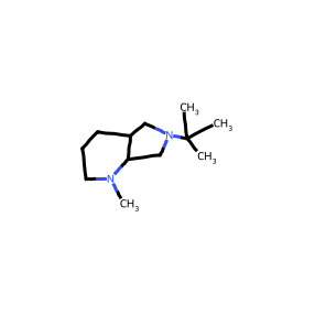 CN1CCCC2CN(C(C)(C)C)CC21